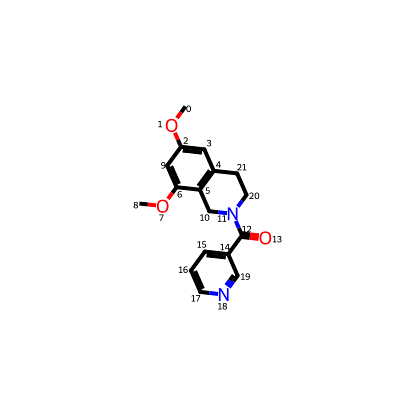 COc1cc2c(c(OC)c1)CN(C(=O)c1cccnc1)CC2